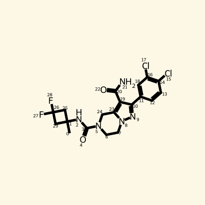 CC1(NC(=O)N2CCn3nc(-c4ccc(Cl)c(Cl)c4)c(C(N)=O)c3C2)CC(F)(F)C1